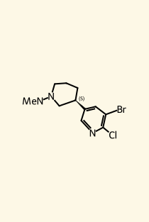 CNN1CCC[C@@H](c2cnc(Cl)c(Br)c2)C1